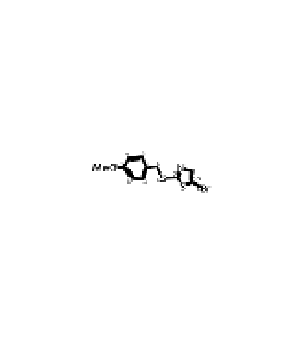 COc1ccc(CSc2ncc(Br)s2)cc1